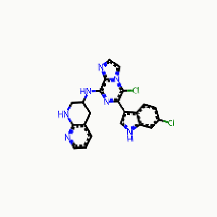 Clc1ccc2c(-c3nc(NC4CNc5ncccc5C4)c4nccn4c3Cl)c[nH]c2c1